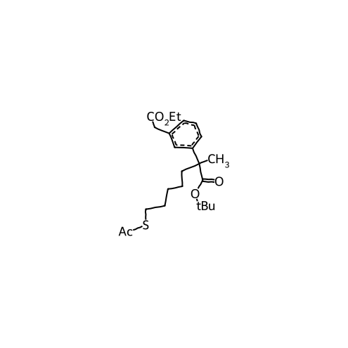 CCOC(=O)Cc1cccc(C(C)(CCCCCSC(C)=O)C(=O)OC(C)(C)C)c1